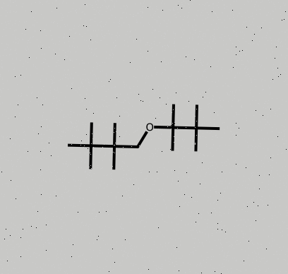 CC(C)(C)C(C)(C)COC(C)(C)C(C)(C)C